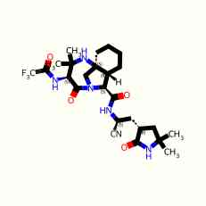 CC1(C)C[C@@H](C[C@@H](C#N)NC(=O)[C@@H]2[C@H]3CCCC[C@@]34CN2C(=O)[C@@H](NC(=O)C(F)(F)F)C(C)(C)N4)C(=O)N1